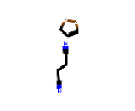 C1=CSSC1.N#CCCC#N